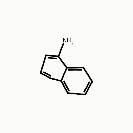 Nc1cccc2c[c]ccc12